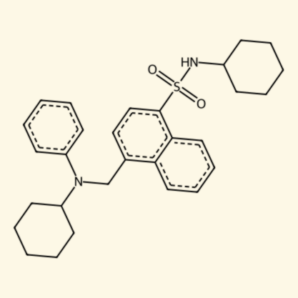 O=S(=O)(NC1CCCCC1)c1ccc(CN(c2ccccc2)C2CCCCC2)c2ccccc12